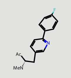 CN[C@@H](Cc1ccc(-c2ccc(F)cc2)nc1)C(C)=O